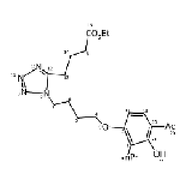 CCCc1c(OCCCCn2nnnc2CCCC(=O)OCC)ccc(C(C)=O)c1O